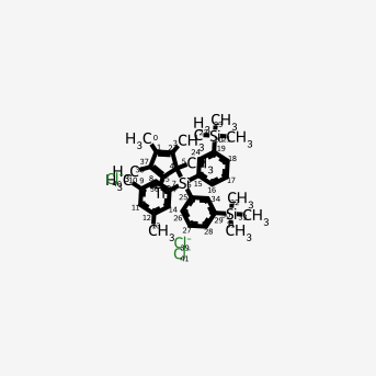 CC1=C(C)C(C)([Si](c2cc(C)cc(C)c2)(c2cccc([Si](C)(C)C)c2)c2cccc([Si](C)(C)C)c2)[C]([Ti+3])=C1C.[Cl-].[Cl-].[Cl-]